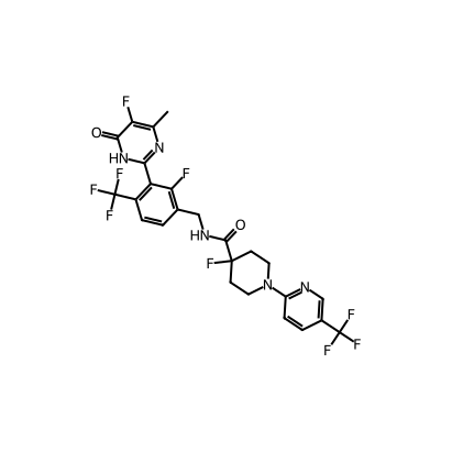 Cc1nc(-c2c(C(F)(F)F)ccc(CNC(=O)C3(F)CCN(c4ccc(C(F)(F)F)cn4)CC3)c2F)[nH]c(=O)c1F